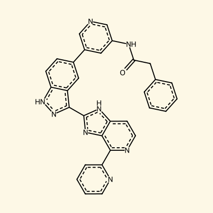 O=C(Cc1ccccc1)Nc1cncc(-c2ccc3[nH]nc(-c4nc5c(-c6ccccn6)nccc5[nH]4)c3c2)c1